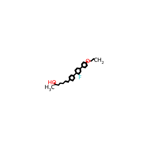 C=CCOc1ccc(-c2ccc(-c3ccc(C=CCCCC(C)O)cc3)c(F)c2)cc1